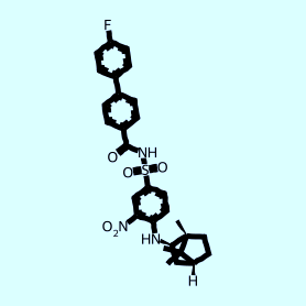 CC1(C)[C@@H]2CC[C@@]1(C)[C@H](Nc1ccc(S(=O)(=O)NC(=O)c3ccc(-c4ccc(F)cc4)cc3)cc1[N+](=O)[O-])C2